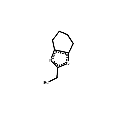 CC(C)(C)Cc1nc2c(s1)CCCC2